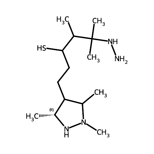 CC1C(CCC(S)C(C)C(C)(C)NN)[C@@H](C)NN1C